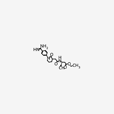 C#C[C@H](CC(=O)OCC)NC(=O)CC1CCCN(c2ccc(C(=N)N)cc2)C1=O